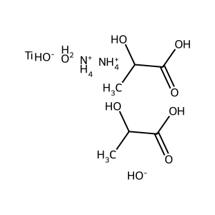 CC(O)C(=O)O.CC(O)C(=O)O.O.[NH4+].[NH4+].[OH-].[OH-].[Ti]